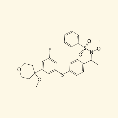 CON(C(C)c1ccc(Sc2cc(F)cc(C3(OC)CCOCC3)c2)cc1)S(=O)(=O)c1ccccc1